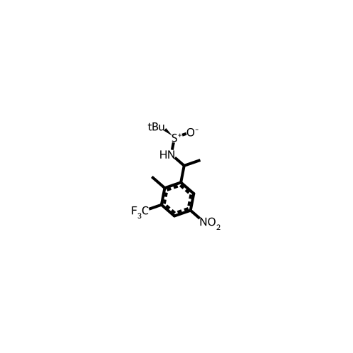 Cc1c(C(C)N[S@+]([O-])C(C)(C)C)cc([N+](=O)[O-])cc1C(F)(F)F